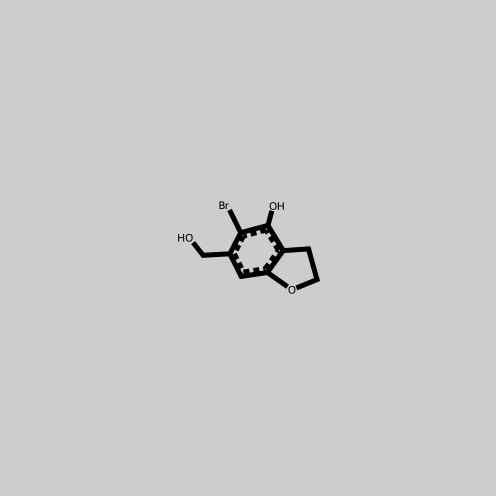 OCc1cc2c(c(O)c1Br)CCO2